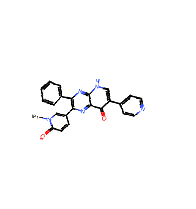 CC(C)n1cc(-c2nc3c(=O)c(-c4ccncc4)c[nH]c3nc2-c2ccccc2)ccc1=O